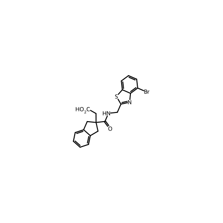 O=C(O)CC1(C(=O)NCc2nc3c(Br)cccc3s2)Cc2ccccc2C1